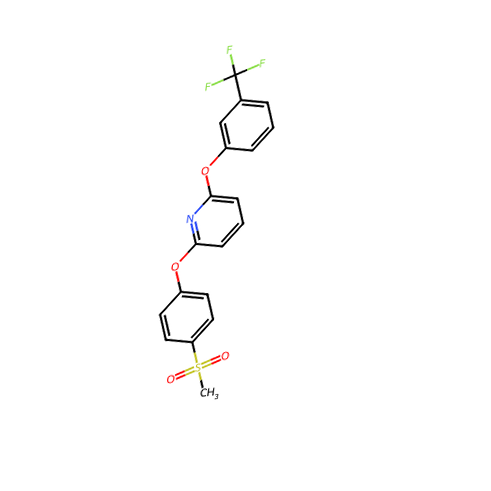 CS(=O)(=O)c1ccc(Oc2cccc(Oc3cccc(C(F)(F)F)c3)n2)cc1